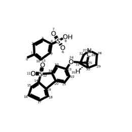 Cc1ccc(S(=O)(=O)O)cc1.O=S1(=O)c2ccccc2-c2ccc(O[C@H]3CN4CCC3CC4)cc21